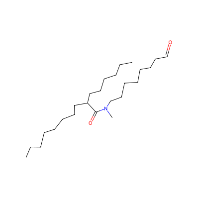 CCCCCCCCC(CCCCCC)C(=O)N(C)CCCCCCCC=O